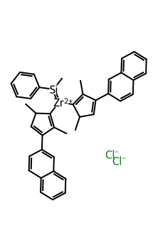 CC1=[C]([Zr+2]([C]2=C(C)C(c3ccc4ccccc4c3)=CC2C)=[Si](C)c2ccccc2)C(C)C=C1c1ccc2ccccc2c1.[Cl-].[Cl-]